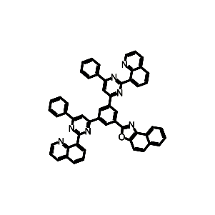 c1ccc(-c2cc(-c3cc(-c4cc(-c5ccccc5)nc(-c5cccc6cccnc56)n4)cc(-c4nc5c(ccc6ccccc65)o4)c3)nc(-c3cccc4cccnc34)n2)cc1